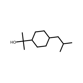 CC(C)CC1CCC(C(C)(C)O)CC1